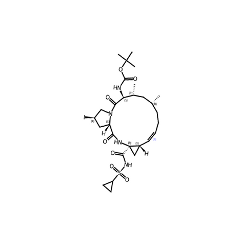 C[C@@H]1CC/C=C\[C@@H]2C[C@@]2(C(=O)NS(=O)(=O)C2CC2)NC(=O)[C@@H]2C[C@@H](I)CN2C(=O)[C@@H](NC(=O)OC(C)(C)C)[C@H](C)C1